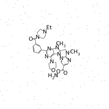 CCN1CCN(C(=O)c2cccc(-c3nc(N4CCOCC4)c4nc(CN(C)c5ncc(C(=O)ON)cn5)n(C)c4n3)c2)CC1